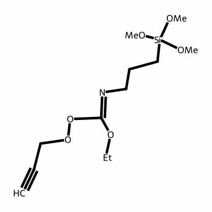 C#CCOOC(=NCCC[Si](OC)(OC)OC)OCC